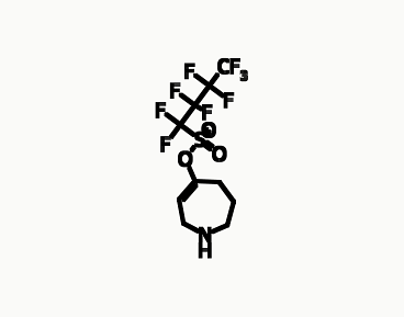 O=S(=O)(OC1=CCNCCC1)C(F)(F)C(F)(F)C(F)(F)C(F)(F)F